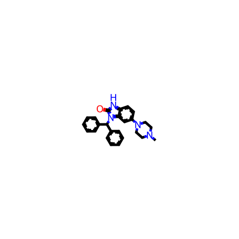 CN1CCN(c2ccc3[nH]c(=O)n(C(c4ccccc4)c4ccccc4)c3c2)CC1